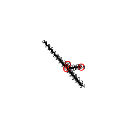 CCCCCCCCCCCCCCCC(=O)OC(CCCC[C]=O)CCCCCCCCCC